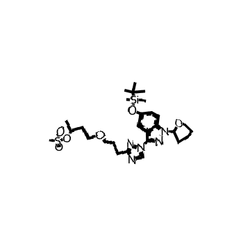 CC(CCOCCCc1ncn(-c2nn(C3CCCCO3)c3ccc(O[Si](C)(C)C(C)(C)C)cc23)n1)OS(C)(=O)=O